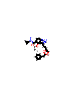 COc1c(C(=O)NC2CC2)ccc2[nH]nc(C=CC3=COC(Cc4ccccc4)O3)c12